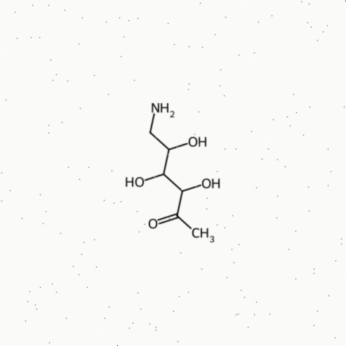 CC(=O)C(O)C(O)C(O)CN